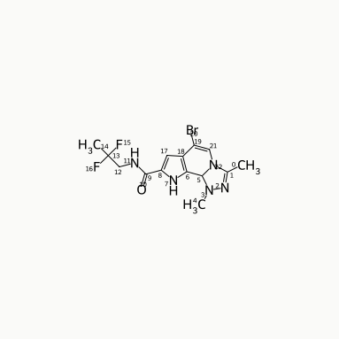 CC1=NN(C)C2c3[nH]c(C(=O)NCC(C)(F)F)cc3C(Br)=CN12